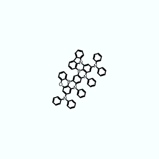 c1ccc(N(c2ccccc2)c2cc3c4c(c2)N(c2ccccc2)c2cc5c(cc2B4c2ccccc2O3)B2c3c(cc(N(c4ccccc4)c4ccccc4)cc3-n3c4ccccc4c4cccc2c43)N5c2ccccc2)cc1